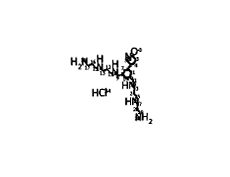 COc1ccc(-c2cc(CNCCCNCCCN)cc(CNCCCNCCCN)c2)cn1.Cl